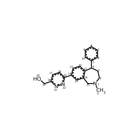 CN1CCC(c2ccccc2)c2ccc(-c3ccc(CO)nn3)cc2C1